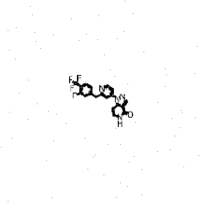 O=C1NCCc2c1cnn2-c1ccnc(Cc2ccc(C(F)(F)F)c(F)c2)c1